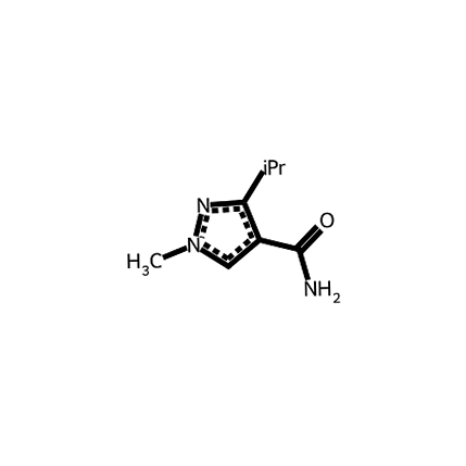 CC(C)c1nn(C)cc1C(N)=O